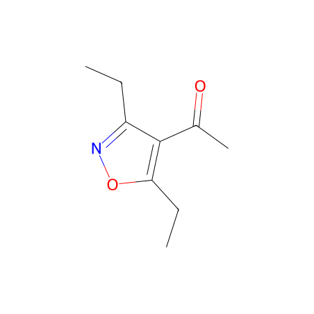 CCc1noc(CC)c1C(C)=O